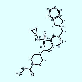 CNC(=O)N1CCC(COc2cnc(CN3Cc4ccccc4C3)cc2S(=O)(=O)NC2CC2)CC1